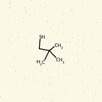 [CH2]C(C)(C)CS